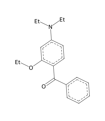 CCOc1cc(N(CC)CC)ccc1C(=O)c1ccccc1